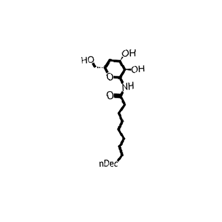 CCCCCCCCCCCCCCCCCC(=O)N[C]1O[C@H](CO)C[C@H](O)[C@H]1O